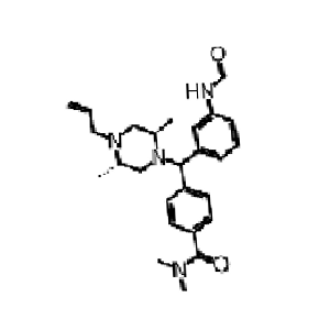 C=CCN1C[C@@H](C)N(C(c2ccc(C(=O)N(C)C)cc2)c2cccc(NC=O)c2)C[C@@H]1C